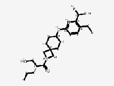 CCC[C@H](CO)C(=O)N1CC2(CCC(Oc3ccc(CC)c(C(F)F)n3)CC2)C1